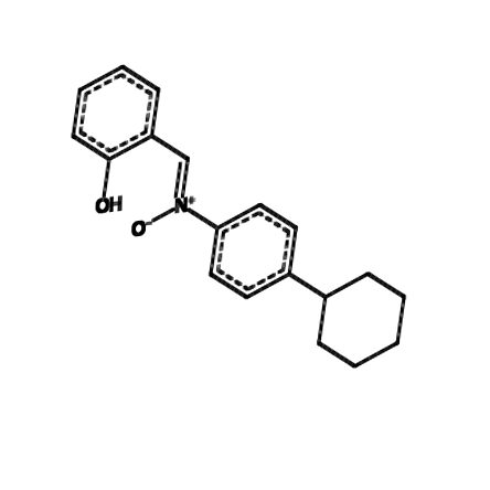 [O-][N+](=Cc1ccccc1O)c1ccc(C2CCCCC2)cc1